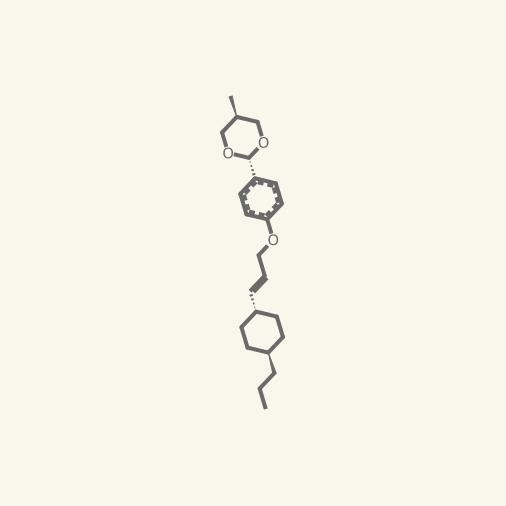 CCC[C@H]1CC[C@H](C=CCOc2ccc([C@H]3OC[C@H](C)CO3)cc2)CC1